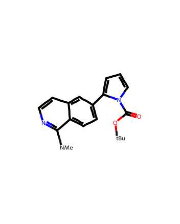 CNc1nccc2cc(-c3cccn3C(=O)OC(C)(C)C)ccc12